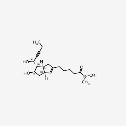 CCC#C[C@H](O)[C@@H]1[C@H]2CC(CCCCC(=O)N(C)C)=C[C@H]2C[C@H]1O